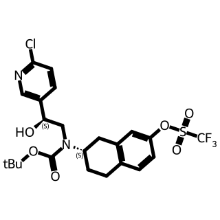 CC(C)(C)OC(=O)N(C[C@@H](O)c1ccc(Cl)nc1)[C@H]1CCc2ccc(OS(=O)(=O)C(F)(F)F)cc2C1